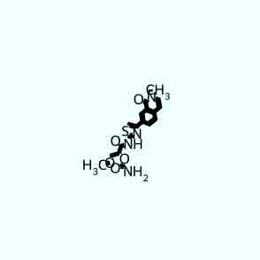 COCC(OC(N)=O)C(=O)Nc1nc(-c2ccc3ccn(C)c(=O)c3c2)cs1